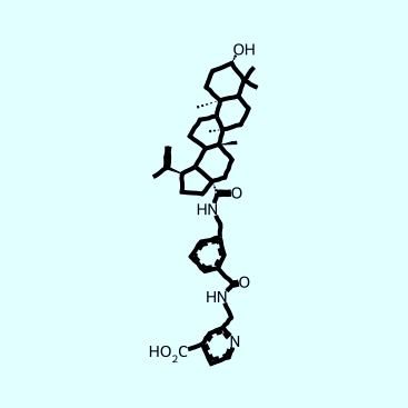 C=C(C)[C@@H]1CC[C@]2(C(=O)NCc3cccc(C(=O)NCc4cc(C(=O)O)ccn4)c3)CC[C@]3(C)C(CCC4[C@@]5(C)CC[C@H](O)C(C)(C)C5CC[C@]43C)C12